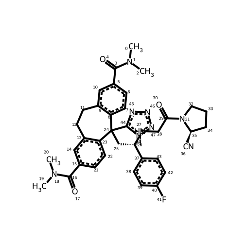 CN(C)C(=O)c1ccc2c(c1)CCc1cc(C(=O)N(C)C)ccc1C2(C[C@H](NCC(=O)N1CCC[C@H]1C#N)c1ccc(F)cc1)c1nnn[nH]1